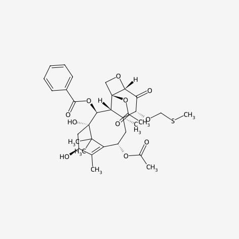 CSCO[C@H]1C(=O)[C@H]2OC[C@@]2(OC(C)=O)[C@H]2[C@H](OC(=O)c3ccccc3)[C@]3(O)C[C@H](O)C(C)=C([C@@H](OC(C)=O)C[C@]12C)C3(C)C